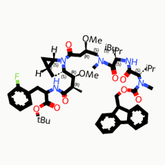 CC[C@H](C)[C@@H]([C@@H](CC(=O)N1[C@H]2C[C@H]2C[C@H]1[C@H](OC)[C@@H](C)C(=O)NC(Cc1ccccc1F)C(=O)OC(C)(C)C)OC)N(C)C(=O)[C@@H](NC(=O)[C@H](C(C)C)N(C)C(=O)OCC1c2ccccc2-c2ccccc21)C(C)C